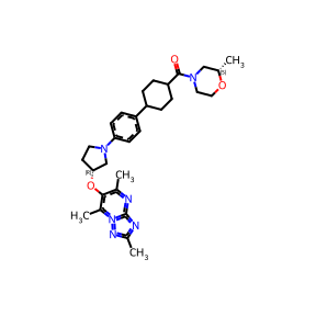 Cc1nc2nc(C)c(O[C@@H]3CCN(c4ccc(C5CCC(C(=O)N6CCO[C@@H](C)C6)CC5)cc4)C3)c(C)n2n1